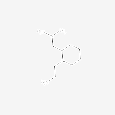 CN(C)CC1CCCCN1CCN